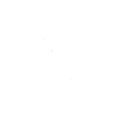 CCCN(CCC)C(=O)CC[O]